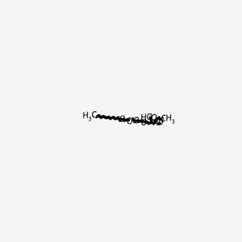 CCCCCCCCCCCCOCCOCCOCCOCCC(CN1CCN(C)CC1)C(=O)O